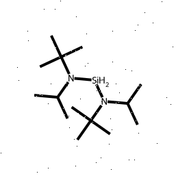 CC(C)N([SiH2]N(C(C)C)C(C)(C)C)C(C)(C)C